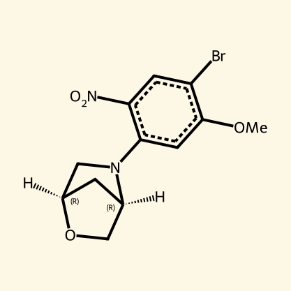 COc1cc(N2C[C@H]3C[C@@H]2CO3)c([N+](=O)[O-])cc1Br